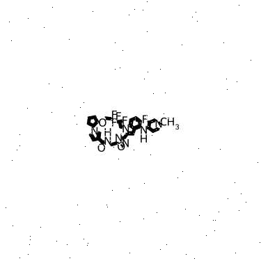 CN1CC[C@@H](Nc2cccc3c2cc(-c2noc(CNC(=O)c4ccn([C@H]5CCC[C@@H]5OCCF)c4)n2)n3CC(F)(F)F)[C@@H](F)C1